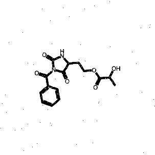 CC(O)C(=O)OCCC1NC(=O)N(C(=O)c2ccccc2)C1=O